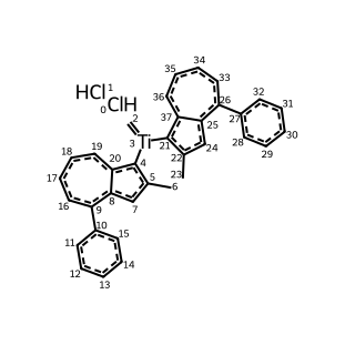 Cl.Cl.[CH2]=[Ti]([c]1c(C)cc2c(-c3ccccc3)ccccc1-2)[c]1c(C)cc2c(-c3ccccc3)ccccc1-2